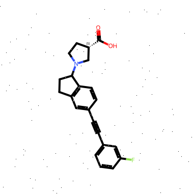 O=C(O)[C@H]1CCN(C2CCc3cc(C#Cc4cccc(F)c4)ccc32)C1